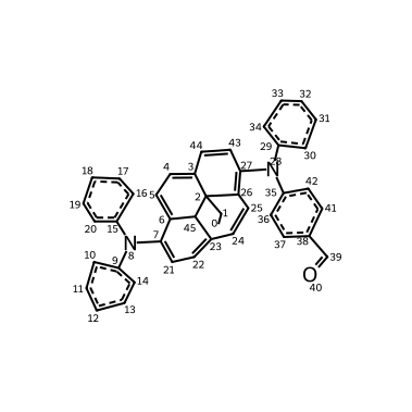 CCC12C3=CC=C4C(N(c5ccccc5)c5ccccc5)=CC=C(C=CC1=C(N(c1ccccc1)c1ccc(C=O)cc1)C=C3)C42